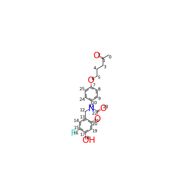 CC(=O)CCCOc1ccc(N2Cc3cc(F)c(O)cc3OC2=O)cc1